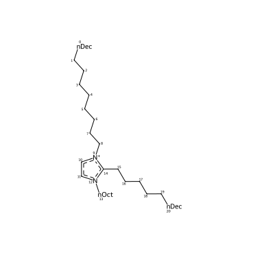 CCCCCCCCCCCCCCCCCC[n+]1ccn(CCCCCCCC)c1CCCCCCCCCCCCCCC